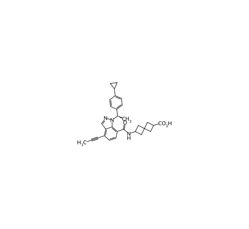 CC#Cc1ccc(C(=O)NC2CC3(C2)CC(C(=O)O)C3)c2c1cnn2[C@H](C)c1ccc(C2CC2)cc1